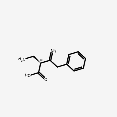 CC[C@@H](C(=N)Cc1ccccc1)C(=O)O